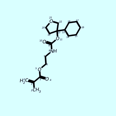 C=C(C)C(=O)OCCNC(=O)OC1(C2CCCCC2)CCOC1